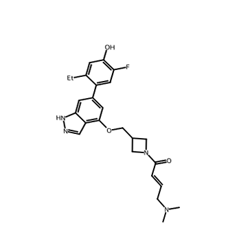 CCc1cc(O)c(F)cc1-c1cc(OCC2CN(C(=O)/C=C/CN(C)C)C2)c2cn[nH]c2c1